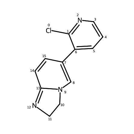 Clc1ncccc1C1=CN2CCN=C2C=C1